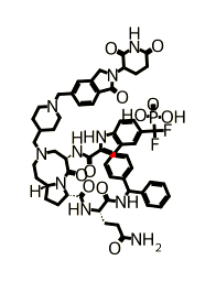 NC(=O)CC[C@H](NC(=O)[C@@H]1CC[C@@H]2CCN(CC3CCN(Cc4ccc5c(c4)CN(C4CCC(=O)NC4=O)C5=O)CC3)C[C@H](NC(=O)c3cc4cc(C(F)(F)P(=O)(O)O)ccc4[nH]3)C(=O)N21)C(=O)NC(c1ccccc1)c1ccccc1